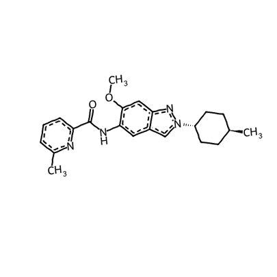 COc1cc2nn([C@H]3CC[C@H](C)CC3)cc2cc1NC(=O)c1cccc(C)n1